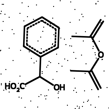 C=C(C)OC(=C)C.O=C(O)C(O)c1ccccc1